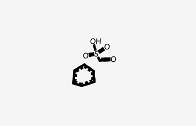 O=CS(=O)(=O)O.c1ccccc1